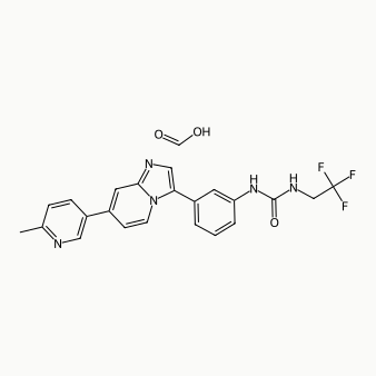 Cc1ccc(-c2ccn3c(-c4cccc(NC(=O)NCC(F)(F)F)c4)cnc3c2)cn1.O=CO